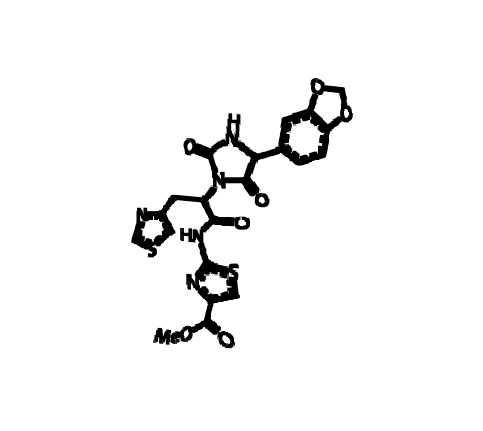 COC(=O)c1csc(NC(=O)C(Cc2cscn2)N2C(=O)NC(c3ccc4c(c3)OCO4)C2=O)n1